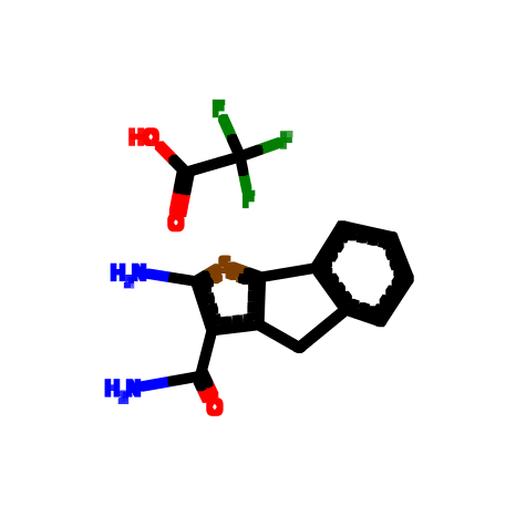 NC(=O)c1c(N)sc2c1Cc1ccccc1-2.O=C(O)C(F)(F)F